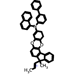 C/C=C/C1(C)c2ccccc2-c2c1ccc1c2OC2=C(C=C(N(c3cccc(-c4ccccc4)c3)c3cccc4ccccc34)CC2)O1